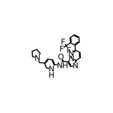 O=C(NC1=CC=C(CN2CCCC2)CN1)c1cnc2ccc(-c3ccccc3C(F)(F)F)nn12